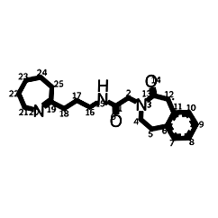 O=C(CN1CCc2ccccc2[CH]C1=O)NCCCC1=NCCCCC1